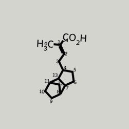 CC(=CCC1CCC2C3CCC(C3)C12)C(=O)O